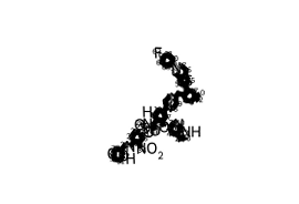 CC1(C)CCC(CN2CCN(c3ccc(C(=O)NS(=O)(=O)c4ccc(NCC5COCCO5)c([N+](=O)[O-])c4)c(Oc4cnc5[nH]ccc5c4)c3)CC2)=C(c2cc3c(s2)CCN(c2ccc(F)cc2)C3)C1